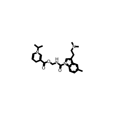 Cc1ccc2c(c1)c(CCN(C)C)cn2C(=O)NCOC(=O)C1=CN(C(C)C)C=CC1